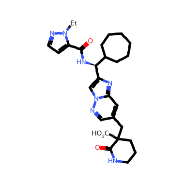 CCn1nccc1C(=O)N[C@H](c1cn2ncc(CC3(C(=O)O)CCCNC3=O)cc2n1)C1CCCCCC1